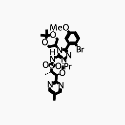 COc1ccc(Br)c(-c2nnc(NS(=O)(=O)[C@@H](C)[C@@H](OC(C)C)c3ncc(C)cn3)n2C2COC(C)(C)OC2)c1